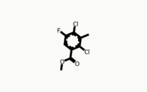 COC(=O)c1cc(F)c(Cl)c(C)c1Cl